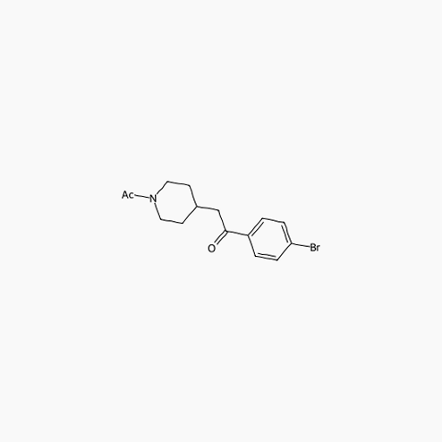 CC(=O)N1CCC(CC(=O)c2ccc(Br)cc2)CC1